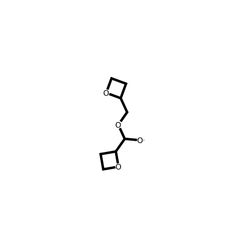 [O]C(OCC1CCO1)C1CCO1